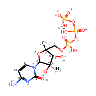 C[C@]1(COP(=O)(O)OP(=O)(O)OP(=O)(O)O)OC(n2ccc(N)nc2=O)[C@](C)(O)[C@@H]1O